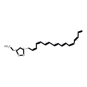 C=C/C=C/C=C\C=C\C=C\C=C\C=C/C=C\C[C@H]1C[C@@H](CC(=O)O)OO1